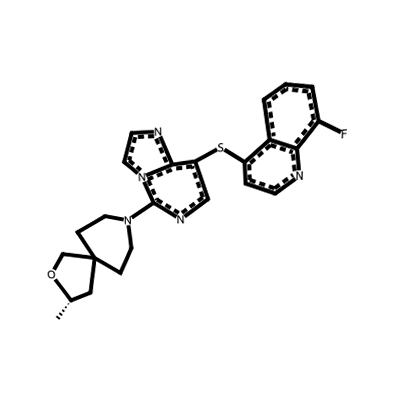 C[C@H]1CC2(CCN(c3ncc(Sc4ccnc5c(F)cccc45)c4nccn34)CC2)CO1